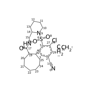 N#Cc1ccc(S(=O)(=O)N2CCCCC2CNC(=O)[C]2CCCCCCC2)c(Cl)c1.[CH2].[CH2]